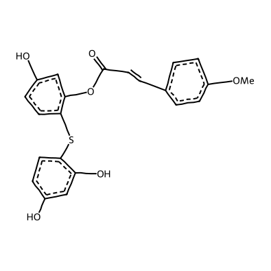 COc1ccc(C=CC(=O)Oc2cc(O)ccc2Sc2ccc(O)cc2O)cc1